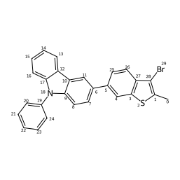 Cc1sc2cc(-c3ccc4c(c3)c3ccccc3n4-c3ccccc3)ccc2c1Br